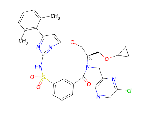 Cc1cccc(C)c1-c1cc2nc(n1)NS(=O)(=O)c1cccc(c1)C(=O)N(Cc1cncc(Cl)n1)[C@H](COC1CC1)CO2